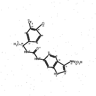 C[C@@H](NC(=O)Nc1cc2[nH]nc(NC(=O)O)c2cn1)c1ccc(Cl)c(C(F)(F)F)c1